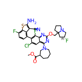 COC(=O)C1CCCCN(c2nc(OC[C@@]34CCCN3C[C@H](F)C4)nc3c(F)c(-c4ccc(F)c5sc(N)c(C#N)c45)c(Cl)cc23)C1